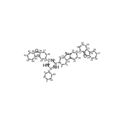 c1ccc(C2NC(c3ccc4c(c3)sc3cc(-c5cccc6c5oc5ccccc56)ccc34)=NC(c3ccc4oc5ccccc5c4c3)N2)cc1